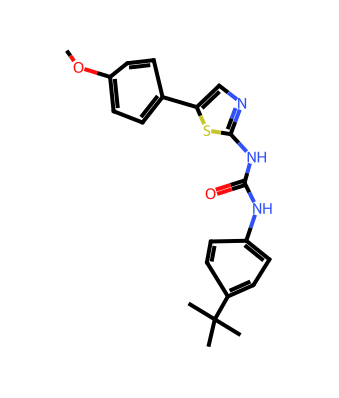 COc1ccc(-c2cnc(NC(=O)Nc3ccc(C(C)(C)C)cc3)s2)cc1